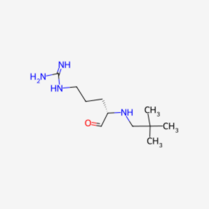 CC(C)(C)CN[C@H](C=O)CCCNC(=N)N